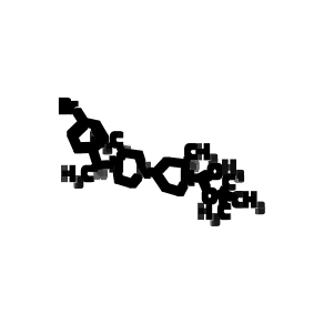 C[C@@H]1CN(C2CCN(C(=O)OC(C)(C)C)[C@@H](C)C2)CCN1[C@@H](C)c1ccc(Br)cc1